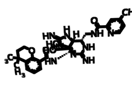 Cc1ccnc(C(=O)NC[C@@H]2NC(=N)N3C[C@H](NC(=O)c4cccc5c4OCCC5(C)C)C(O)(O)[C@@]34NC(=N)N[C@@H]24)c1